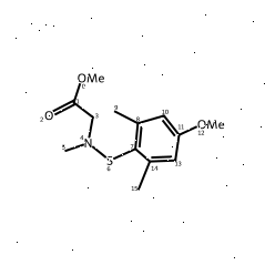 COC(=O)CN(C)Sc1c(C)cc(OC)cc1C